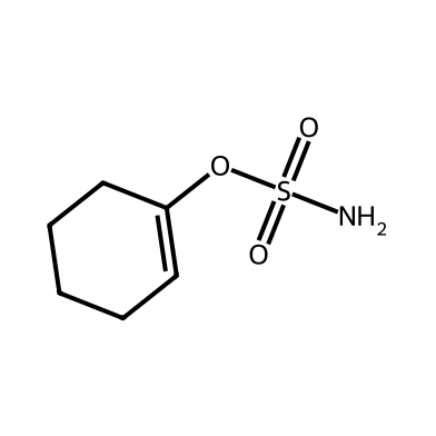 NS(=O)(=O)OC1=CCCCC1